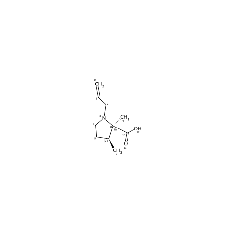 C=CCN1CC[C@H](C)[C@]1(C)C(=O)O